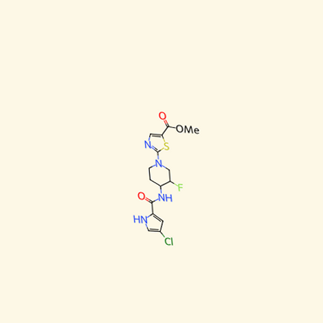 COC(=O)c1cnc(N2CCC(NC(=O)c3cc(Cl)c[nH]3)C(F)C2)s1